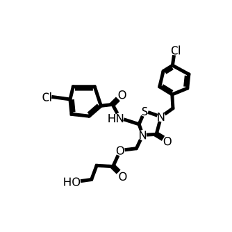 O=C(CCO)OCN1C(=O)N(Cc2ccc(Cl)cc2)SC1NC(=O)c1ccc(Cl)cc1